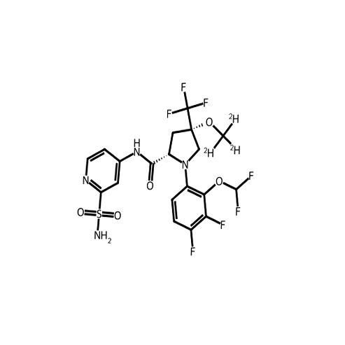 [2H]C([2H])([2H])O[C@@]1(C(F)(F)F)C[C@@H](C(=O)Nc2ccnc(S(N)(=O)=O)c2)N(c2ccc(F)c(F)c2OC(F)F)C1